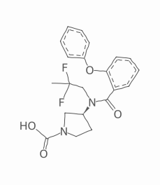 CC(F)(F)CN(C(=O)c1ccccc1Oc1ccccc1)[C@H]1CCN(C(=O)O)C1